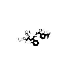 CON=C(C(=O)OC)c1sc2ccccc2c1CON=C(C)c1cccc(C(F)(F)F)c1